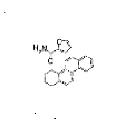 NC(=O)c1ccco1.c1ccc2c(c1)ccc1c3c(ccc12)CCCC3